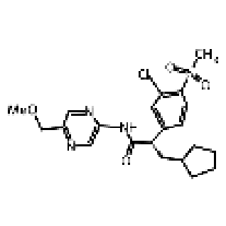 COCc1cnc(NC(=O)[C@H](CC2CCCC2)c2ccc(S(C)(=O)=O)c(Cl)c2)cn1